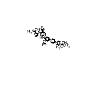 CC(C)(C)N1CCN(C2CCN(c3ccc(Nc4ncc(C(F)(F)F)c(Nc5ccsc5C(N)=O)n4)c(OC(F)F)c3)CC2)CC1